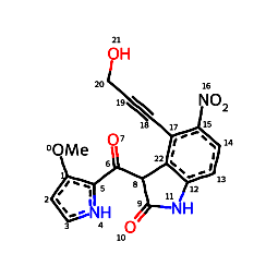 COc1cc[nH]c1C(=O)C1C(=O)Nc2ccc([N+](=O)[O-])c(C#CCO)c21